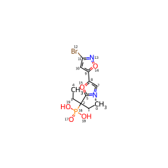 CCC(CC)(c1ncc(-c2cc(Br)no2)o1)P(=O)(O)O